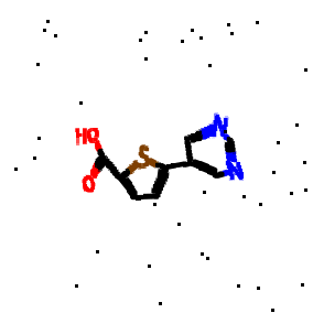 O=C(O)c1ccc(-c2cncnc2)s1